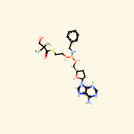 CC(C)(CO)C(=O)SCCOP(NCc1ccccc1)OC[C@H]1CCC(n2cnc3c(N)ncnc32)O1